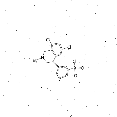 CCN1Cc2c(Cl)cc(Cl)cc2[C@@H](c2cccc(S(=O)(=O)Cl)c2)C1